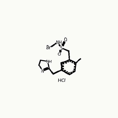 Cc1ccc(CC2=NCCN2)cc1CS(=O)(=O)NBr.Cl